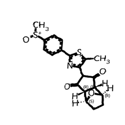 Cc1sc(-c2ccc([S+](C)[O-])cc2)nc1C1C(=O)[C@@H]2[C@H](C1=O)[C@H]1CC[C@@H]2O1